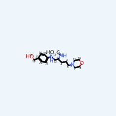 O=C(O)NC(CCCN1CCOCC1)CNc1ccc(CO)cc1